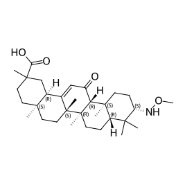 CON[C@H]1CC[C@]2(C)[C@H]3C(=O)C=C4[C@@H]5CC(C)(C(=O)O)CC[C@]5(C)CC[C@@]4(C)[C@]3(C)CC[C@H]2C1(C)C